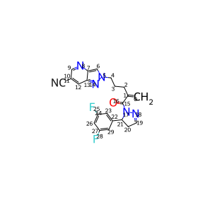 C=C(CCCn1cc2ncc(C#N)cc2n1)C(=O)N1N=CCC1c1cc(F)cc(F)c1